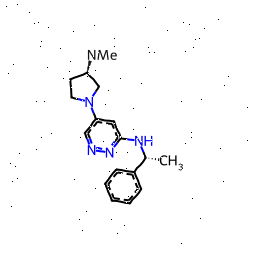 CN[C@@H]1CCN(c2cnnc(N[C@H](C)c3ccccc3)c2)C1